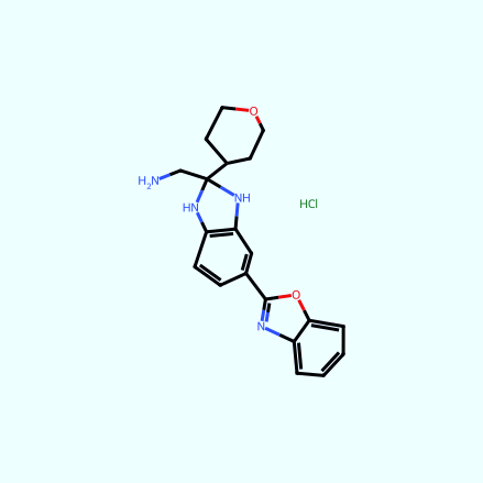 Cl.NCC1(C2CCOCC2)Nc2ccc(-c3nc4ccccc4o3)cc2N1